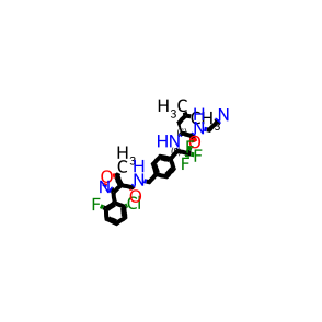 Cc1onc(-c2c(F)cccc2Cl)c1C(=O)NCc1ccc([C@H](N[C@@H](CC(C)C)C(=O)NCC#N)C(F)(F)F)cc1